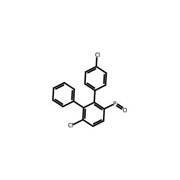 O=Pc1ccc(Cl)c(-c2ccccc2)c1-c1ccc(Cl)cc1